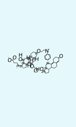 COC(=O)CC[C@@H](C)[C@H]1CC[C@H]2[C@@H]3[C@H](OCCl)C[C@@H]4C[C@@H](OCCN(C)c5ccc([C@H]6C[C@@]7(C)C(CC[C@]7(C)O)C7CCC8=CC(=O)CCC8=C76)cc5)CC[C@]4(C)[C@H]3C[C@H](O)[C@]12C